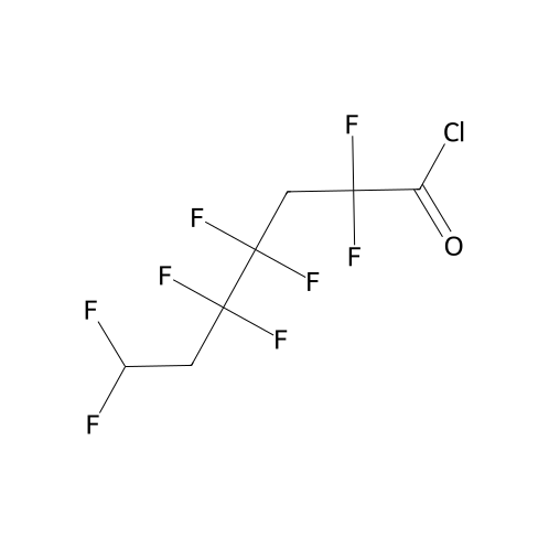 O=C(Cl)C(F)(F)CC(F)(F)C(F)(F)CC(F)F